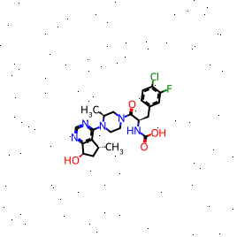 C[C@@H]1C[C@@H](O)c2ncnc(N3CCN(C(=O)[C@@H](Cc4ccc(Cl)c(F)c4)NC(=O)O)C[C@@H]3C)c21